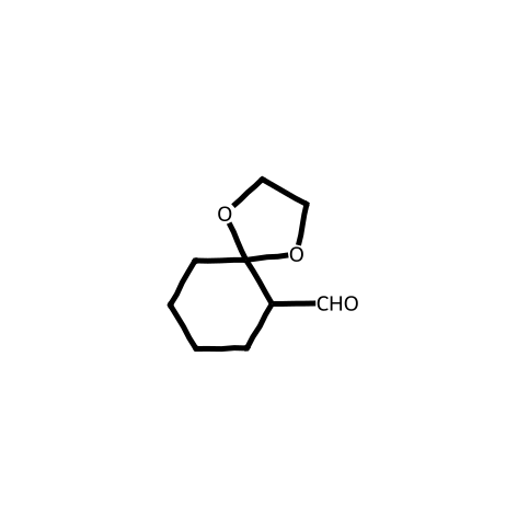 O=CC1CCCCC12OCCO2